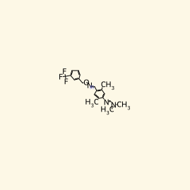 Cc1cc(N=CN(C)C)c(C)cc1/C=N/OCc1cccc(C(F)(F)F)c1